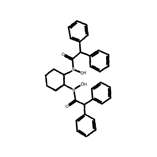 O=C(C(c1ccccc1)c1ccccc1)N(O)C1CCCCC1N(O)C(=O)C(c1ccccc1)c1ccccc1